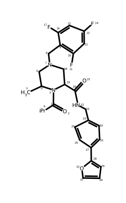 CC(C)C(=O)N1C(C)CN(Cc2c(F)cc(F)cc2F)CC1C(=O)NCc1ccc(-c2ccco2)cc1